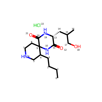 CCCCC1CNCCC12NC(=O)[C@@H](CC(C)CO)NC2=O.Cl